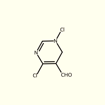 O=CC1=C(Cl)N=CN(Cl)C1